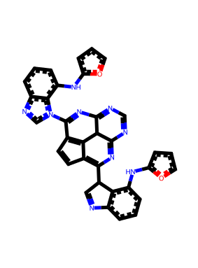 C1=CC2=C(C3C=Nc4cccc(Nc5ccco5)c43)N=C3N=CN=C4N=C(n5cnc6cccc(Nc7ccco7)c65)C1=C2C43